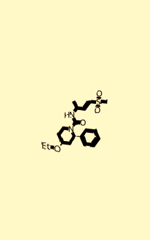 CCO[C@@H]1CCN(C(=O)NC(C)/C=C/S(C)(=O)=O)[C@H](c2ccccc2)C1